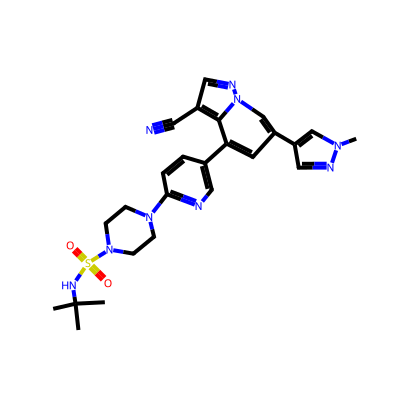 Cn1cc(-c2cc(-c3ccc(N4CCN(S(=O)(=O)NC(C)(C)C)CC4)nc3)c3c(C#N)cnn3c2)cn1